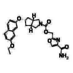 CCOc1ccc2ccc(O[C@@H]3C[C@@H]4CN(C(=O)OCc5nc(C(N)=O)co5)C[C@@H]4C3)cc2c1